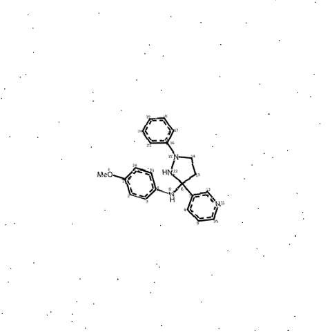 COc1ccc(NC2(c3cccnc3)CCN(c3ccccc3)N2)cc1